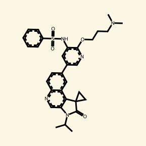 CC(C)N1C(=O)C2(CC2)c2c1cnc1ccc(-c3cnc(OCCCN(C)C)c(NS(=O)(=O)c4ccccc4)c3)cc21